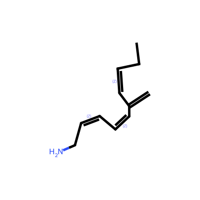 C=C(/C=C\C=C/CN)/C=C\CC